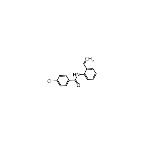 C=Cc1ccccc1NC(=O)c1ccc(Cl)cc1